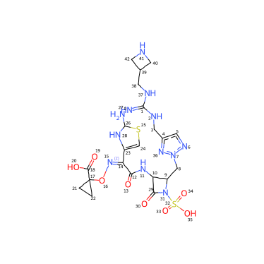 N=C(NCc1cnn(CC2C(NC(=O)/C(=N\OC3(C(=O)O)CC3)C3=CSC(N)N3)C(=O)N2S(=O)(=O)O)n1)NCC1CNC1